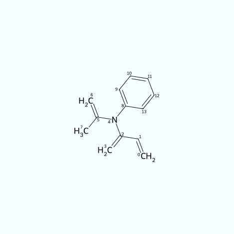 C=CC(=C)N(C(=C)C)c1ccccc1